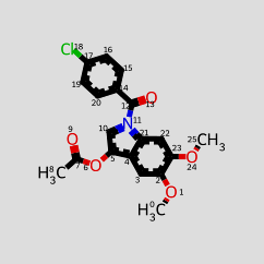 COc1cc2c(OC(C)=O)cn(C(=O)c3ccc(Cl)cc3)c2cc1OC